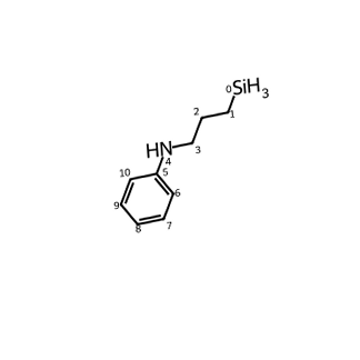 [SiH3]CCCNc1ccccc1